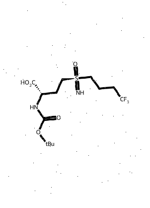 CC(C)(C)OC(=O)N[C@@H](CC[S@@](=N)(=O)CCCC(F)(F)F)C(=O)O